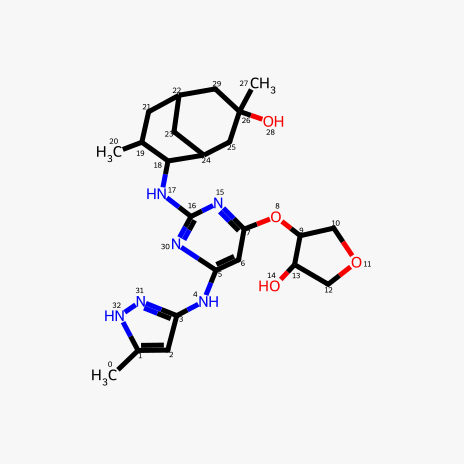 Cc1cc(Nc2cc(OC3COCC3O)nc(NC3C(C)CC4CC3CC(C)(O)C4)n2)n[nH]1